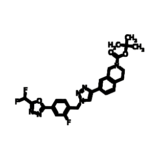 CC(C)(C)OC(=O)N1CCc2ccc(-c3cn(Cc4ccc(-c5nnc(C(F)F)o5)cc4F)nn3)cc2C1